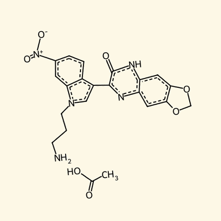 CC(=O)O.NCCCn1cc(-c2nc3cc4c(cc3[nH]c2=O)OCO4)c2ccc([N+](=O)[O-])cc21